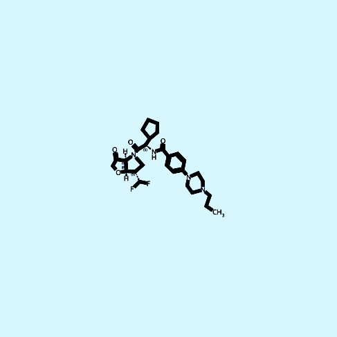 CCCN1CCN(c2ccc(C(=O)N[C@H](C(=O)N3C[C@H](C(F)F)[C@H]4OCC(=O)[C@H]43)C3CCCC3)cc2)CC1